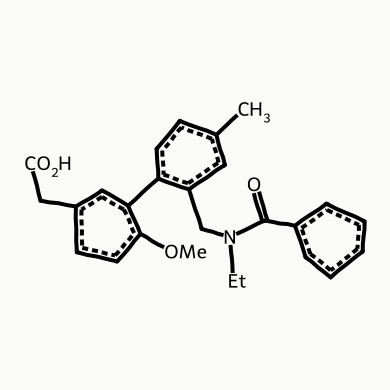 CCN(Cc1cc(C)ccc1-c1cc(CC(=O)O)ccc1OC)C(=O)c1ccccc1